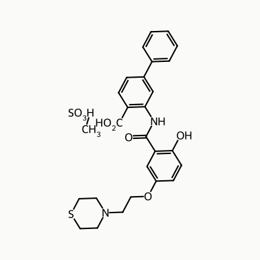 CS(=O)(=O)O.O=C(Nc1cc(-c2ccccc2)ccc1C(=O)O)c1cc(OCCN2CCSCC2)ccc1O